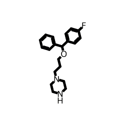 Fc1ccc(C(OCCCN2CCNCC2)c2ccccc2)cc1